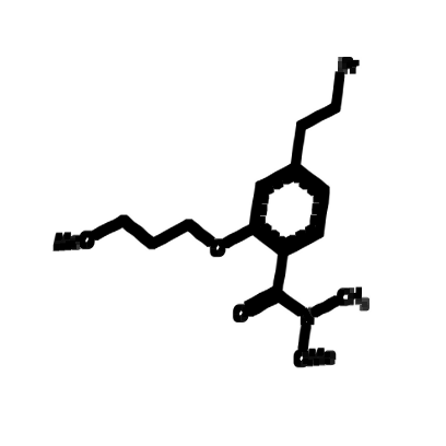 COCCCOc1cc(CCC(C)C)ccc1C(=O)N(C)OC